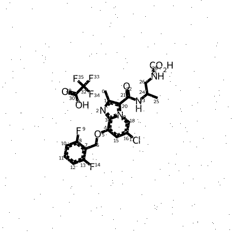 Cc1nc2c(OCc3c(F)cccc3F)cc(Cl)cn2c1C(=O)NC(C)CNC(=O)O.O=C(O)C(F)(F)F